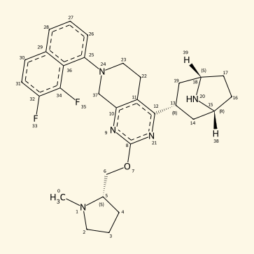 CN1CCC[C@H]1COc1nc2c(c([C@H]3C[C@H]4CC[C@@H](C3)N4)n1)CCN(c1cccc3ccc(F)c(F)c13)C2